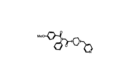 COc1ccc(C(=O)N(CC(=O)N2CCN(Cc3ccncc3)CC2)c2ccccc2)cc1